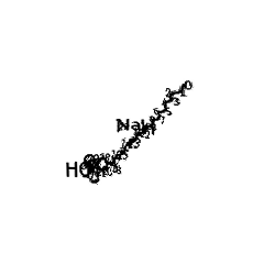 CCCCCCCCCCCCCCCCCC(C)c1ccc(S(=O)(=O)O)cc1.[NaH]